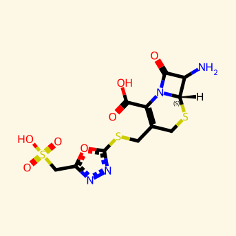 NC1C(=O)N2C(C(=O)O)=C(CSc3nnc(CS(=O)(=O)O)o3)CS[C@@H]12